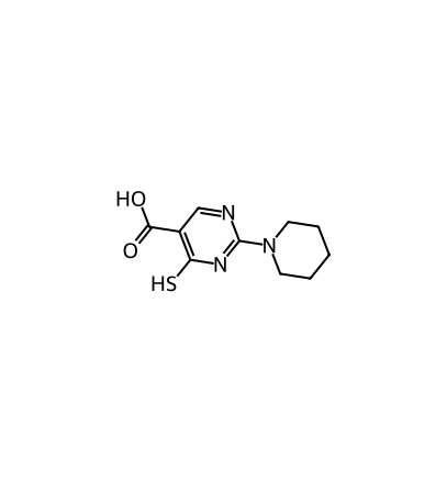 O=C(O)c1cnc(N2CCCCC2)nc1S